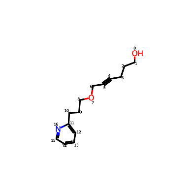 OCCCC#CCOCCCc1ccccn1